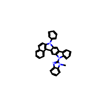 Cn1c(-n2c3ccccc3c3cc4c(cc32)c2c3ccccc3ccc2n4-c2ccccc2)nc2ccccc21